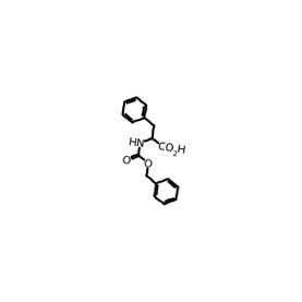 O=C(N[C](Cc1ccccc1)C(=O)O)OCc1ccccc1